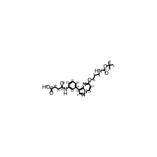 CC(C)(C)OC(=O)NCCCOc1ccn2ncc(-c3cccc(NC(=O)CCC(=O)O)c3)c2n1